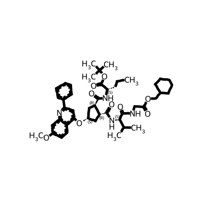 CCC[C@H](NC(=O)[C@@H]1C[C@@H](Oc2cc(-c3ccccc3)nc3cc(OC)ccc23)C[C@H]1C(=O)N[C@H](C(=O)NCC(=O)OCC1CCCCC1)C(C)C)C(=O)OC(C)(C)C